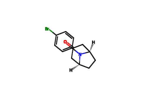 O=C1C[C@H]2CC[C@@H](C1)N2c1ccc(Br)cc1